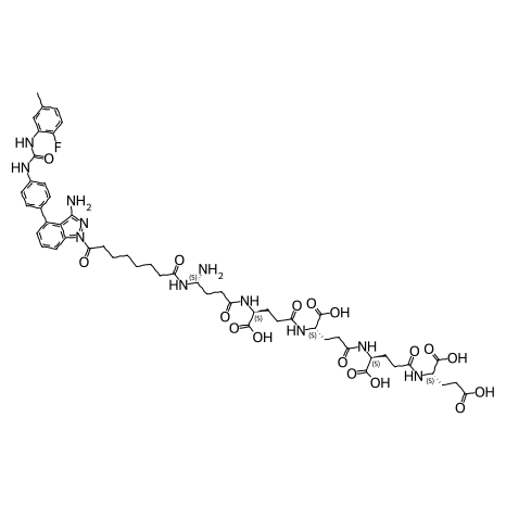 Cc1ccc(F)c(NC(=O)Nc2ccc(-c3cccc4c3c(N)nn4C(=O)CCCCCCC(=O)N[C@H](N)CCC(=O)N[C@@H](CCC(=O)N[C@@H](CCC(=O)N[C@@H](CCC(=O)N[C@@H](CCC(=O)O)C(=O)O)C(=O)O)C(=O)O)C(=O)O)cc2)c1